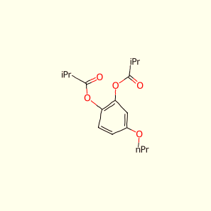 CCCOc1ccc(OC(=O)C(C)C)c(OC(=O)C(C)C)c1